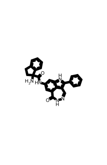 NC1(C(=O)Nc2cc3c4c(c(-c5ccccc5)[nH]c4c2)C=NNC3=O)CCc2ccccc21